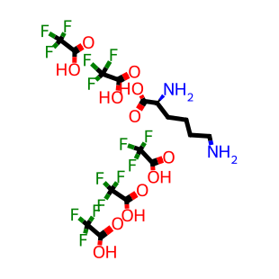 NCCCC[C@H](N)C(=O)O.O=C(O)C(F)(F)F.O=C(O)C(F)(F)F.O=C(O)C(F)(F)F.O=C(O)C(F)(F)F.O=C(O)C(F)(F)F